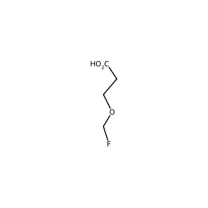 O=C(O)CCOCF